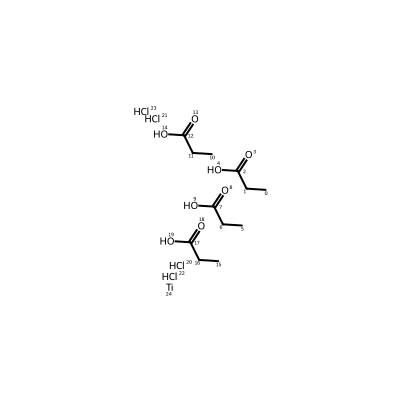 CCC(=O)O.CCC(=O)O.CCC(=O)O.CCC(=O)O.Cl.Cl.Cl.Cl.[Ti]